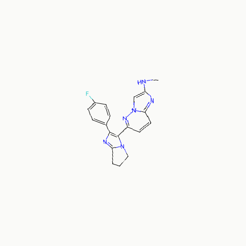 CNc1cn2nc(-c3c(-c4ccc(F)cc4)nc4n3CCC4)ccc2n1